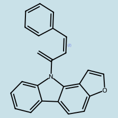 C=C(/C=C\c1ccccc1)n1c2ccccc2c2ccc3occc3c21